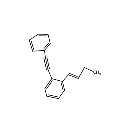 CCC=Cc1ccccc1C#Cc1ccccc1